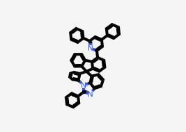 c1ccc(-c2cc(-c3ccccc3)nc(-c3cccc4c3-c3ccccc3C43c4ccccc4-n4c(-c5ccccc5)nc5cccc3c54)c2)cc1